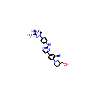 C=CN(/N=C(/C)N)c1ccc(Nc2nccc(-c3ccc(N4CCCC(CO)C4)c(C#N)c3)n2)cc1